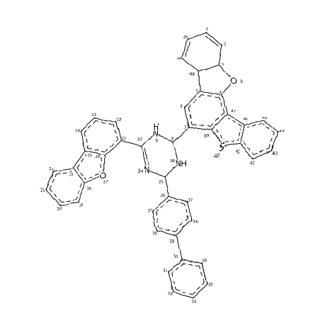 C1=CC2Oc3c(cc(C4NC(c5cccc6c5oc5ccccc56)=NC(c5ccc(-c6ccccc6)cc5)N4)c4sc5ccccc5c34)C2C=C1